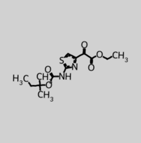 CCOC(=O)C(=O)c1csc(NC(=O)OC(C)(C)CC)n1